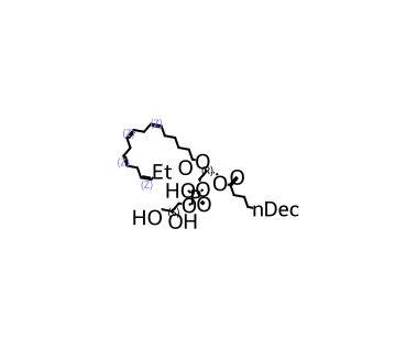 CC/C=C\C/C=C\C/C=C\C/C=C\CCCCC(=O)O[C@H](COC(=O)CCCCCCCCCCCCC)COP(=O)(O)OC[C@@H](O)CO